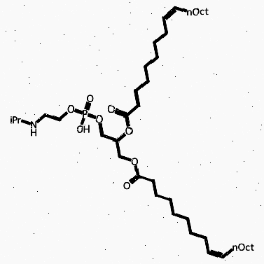 CCCCCCCC/C=C\CCCCCCCC(=O)OCC(COP(=O)(O)OCCNC(C)C)OC(=O)CCCCCCC/C=C\CCCCCCCC